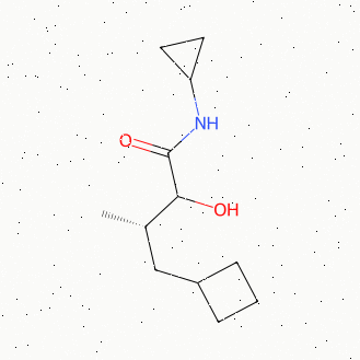 C[C@@H](CC1CCC1)C(O)C(=O)NC1CC1